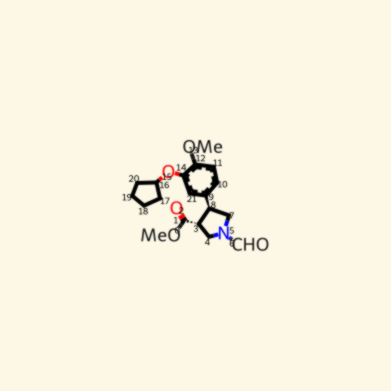 COC(=O)[C@H]1CN(C=O)C[C@@H]1c1ccc(OC)c(OC2CCCC2)c1